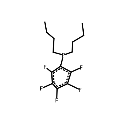 CCCCP(CCCC)c1c(F)c(F)c(F)c(F)c1F